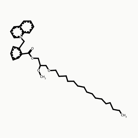 CCCCCCCCCCCCCCCCOCC(COC(=O)c1ccccc1C[n+]1cccc2ccccc21)OC